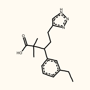 CCc1cccc(C(CCc2c[nH]nn2)C(C)(C)C(=O)O)c1